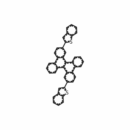 c1ccc2sc(-c3ccc4c5ccccc5c5c6cc(-c7cc8ccccc8s7)ccc6c6ccccc6c5c4c3)cc2c1